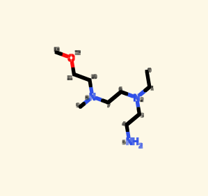 CCN(CCN)CCN(C)CCOC